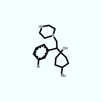 CC(C)(C)C1CCC(O)(C(CN2CCNCC2)c2cccc(Br)c2)CC1